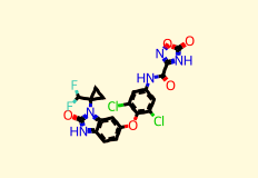 O=C(Nc1cc(Cl)c(Oc2ccc3[nH]c(=O)n(C4(C(F)F)CC4)c3c2)c(Cl)c1)c1noc(=O)[nH]1